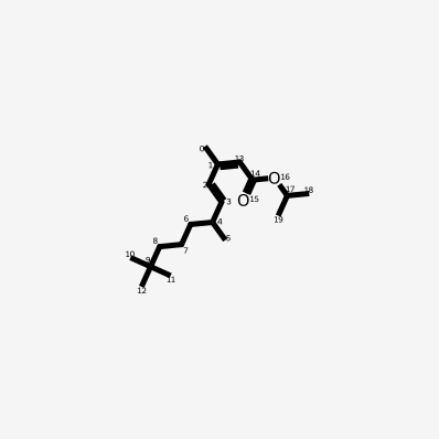 CC(C=CC(C)CCCC(C)(C)C)=CC(=O)OC(C)C